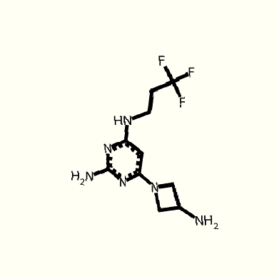 Nc1nc(NCCC(F)(F)F)cc(N2CC(N)C2)n1